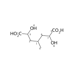 CC(CC(O)C(=O)O)CC(O)C(=O)O